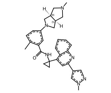 Cc1ccc(N2C[C@H]3CN(C)C[C@H]3C2)cc1C(=O)NC1(c2cc(-c3cnn(C)c3)nc3ccccc23)CC1